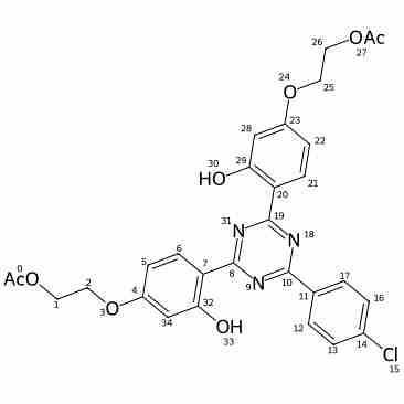 CC(=O)OCCOc1ccc(-c2nc(-c3ccc(Cl)cc3)nc(-c3ccc(OCCOC(C)=O)cc3O)n2)c(O)c1